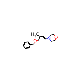 C[C@H](C=CN1CCOCC1)COCc1ccccc1